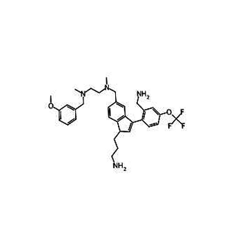 COc1cccc(CN(C)CCN(C)Cc2ccc3c(c2)C(c2ccc(OC(F)(F)F)cc2CN)=CC3CCCN)c1